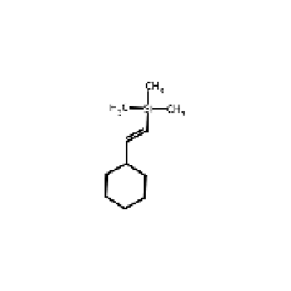 C[Si](C)(C)/C=C/C1CCCCC1